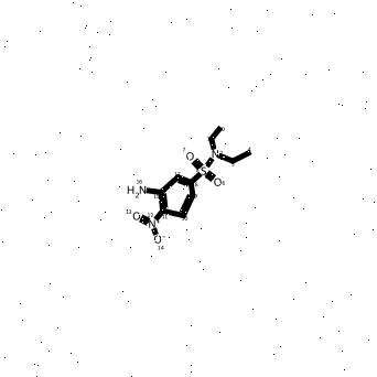 CCN(CC)S(=O)(=O)c1ccc([N+](=O)[O-])c(N)c1